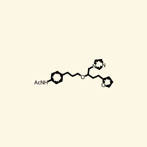 CC(=O)Nc1ccc(CCCOC(CCc2ccco2)Cn2ccnc2)cc1